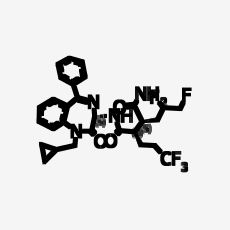 NC(=O)[C@@H](CC(F)CF)[C@@H](CCC(F)(F)F)C(=O)N[C@H]1N=C(c2ccccc2)c2ccccc2N(CC2CC2)C1=O